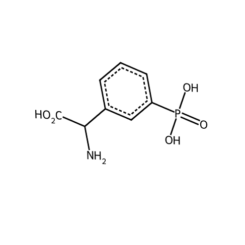 NC(C(=O)O)c1cccc(P(=O)(O)O)c1